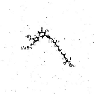 CSSCO[C@H]1C[C@H](n2cc(C#CCNC(=O)OCCSSCCNC(=O)OC(C)(C)C)c(=O)[nH]c2=O)O[C@@H]1CO